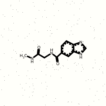 CNC(=O)CNC(=O)c1ccc2nc[nH]c2c1